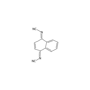 N#C/N=C1C=C/C(=N\C#N)c2ccccc2\1